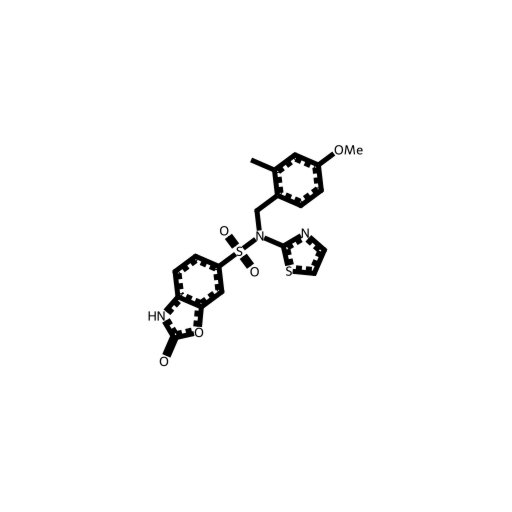 COc1ccc(CN(c2nccs2)S(=O)(=O)c2ccc3[nH]c(=O)oc3c2)c(C)c1